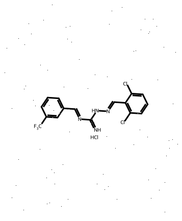 Cl.N=C(N=Cc1cccc(C(F)(F)F)c1)NN=Cc1c(Cl)cccc1Cl